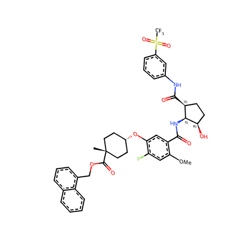 COc1cc(F)c(O[C@H]2CC[C@@](C)(C(=O)OCc3cccc4ccccc34)CC2)cc1C(=O)N[C@@H]1[C@H](O)CC[C@@H]1C(=O)Nc1cccc(S(=O)(=O)C(F)(F)F)c1